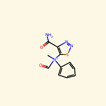 C[N+](C=O)(c1ccccc1)c1snnc1C(N)=O